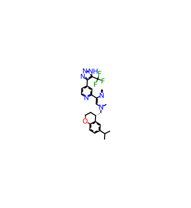 C=N/C(=C\N(C)C[C@H]1CCOc2ccc(C(C)C)cc21)c1cc(-c2nn[nH]c2C(F)(F)F)ccn1